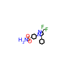 NS(=O)(=O)c1ccc(-n2nc(C(F)F)cc2-c2ccccc2)cc1